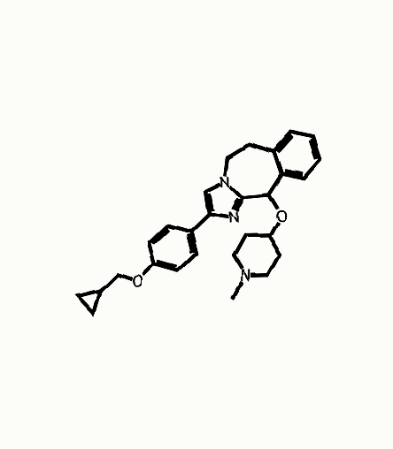 CN1CCC(OC2c3ccccc3CCn3cc(-c4ccc(OCC5CC5)cc4)nc32)CC1